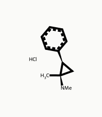 CN[C@]1(C)C[C@@H]1c1ccccc1.Cl